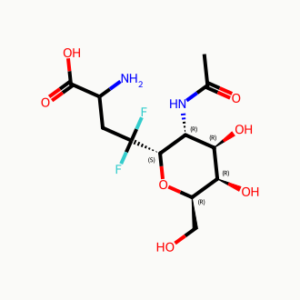 CC(=O)N[C@@H]1[C@@H](O)[C@@H](O)[C@@H](CO)O[C@@H]1C(F)(F)CC(N)C(=O)O